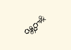 Cc1cc2cc(C=N[S@@+]([O-])C(C)(C)C)ccc2n1S(=O)(=O)c1ccccc1